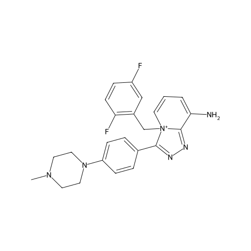 CN1CCN(c2ccc(C3=NN=C4C(N)=CC=C[N+]43Cc3cc(F)ccc3F)cc2)CC1